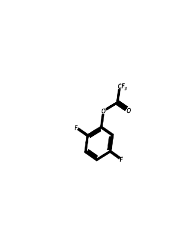 O=C(Oc1cc(F)ccc1F)C(F)(F)F